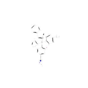 N#Cc1ccc2c(c1)Oc1cc(Br)ccc1C21C2=C(C=CCC2)c2c1ccc1ccccc21